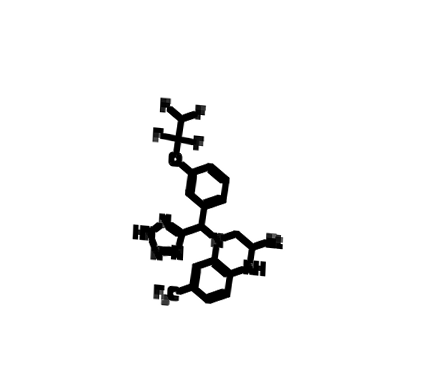 CCC1CN(C(c2cccc(OC(F)(F)C(F)F)c2)c2nn[nH]n2)c2cc(C(F)(F)F)ccc2N1